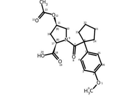 COc1ccc(C2(C(=O)N3C[C@H](OC(C)=O)C[C@@H]3C(=O)O)CCCC2)cc1